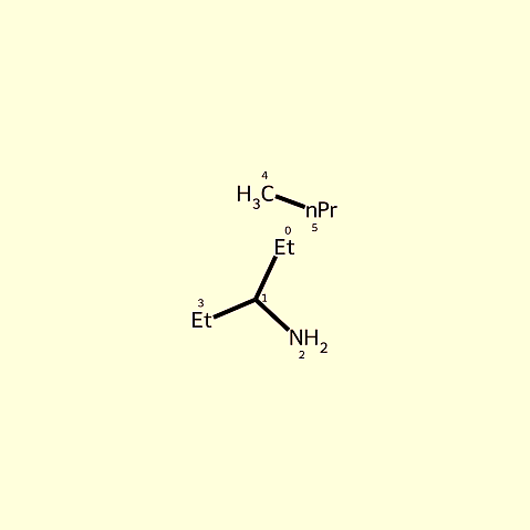 CCC(N)CC.CCCC